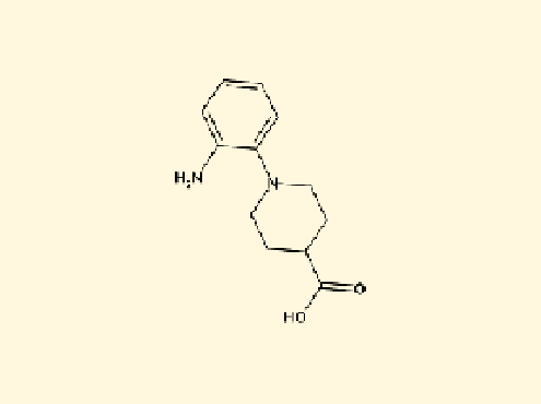 Nc1ccccc1N1CCC(C(=O)O)CC1